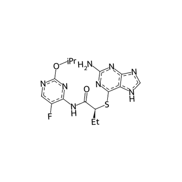 CC[C@H](Sc1nc(N)nc2nc[nH]c12)C(=O)Nc1nc(OC(C)C)ncc1F